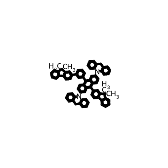 CC1(C)c2ccccc2-c2ccc(-c3cccc(-c4c5ccc(N6c7ccccc7Cc7ccccc76)cc5c(-c5ccc6c(c5)C(C)(C)c5ccccc5-6)c5ccc(N6c7ccccc7Cc7ccccc76)cc45)c3)cc21